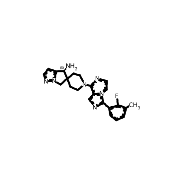 Cc1cccc(-c2ncc3c(N4CCC5(CC4)Cn4nccc4[C@H]5N)nccn23)c1F